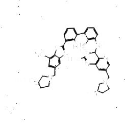 CC1=Nc2cc(CN3CC[C@@H](O)C3)cnc2C(Nc2cccc(-c3cccc(-c4nc5cc(CN6CC[C@@H](C(=O)O)C6)cc(C#N)c5o4)c3C)c2C)N1